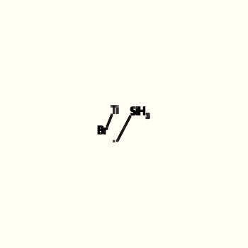 [CH2][SiH3].[Ti][Br]